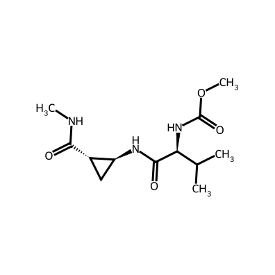 CNC(=O)[C@H]1C[C@@H]1NC(=O)[C@@H](NC(=O)OC)C(C)C